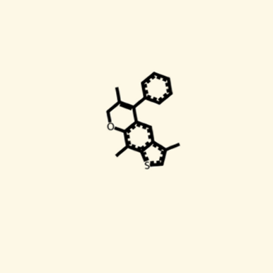 CC1=C(c2ccccc2)c2cc3c(C)csc3c(C)c2OC1